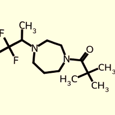 CC(N1CCCN(C(=O)C(C)(C)C)CC1)C(F)(F)F